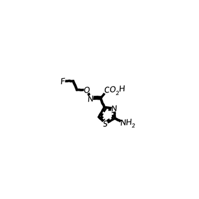 Nc1nc(C(=NOCCF)C(=O)O)cs1